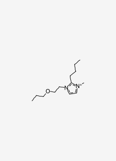 CCCCc1n(CCOCCC)cc[n+]1C